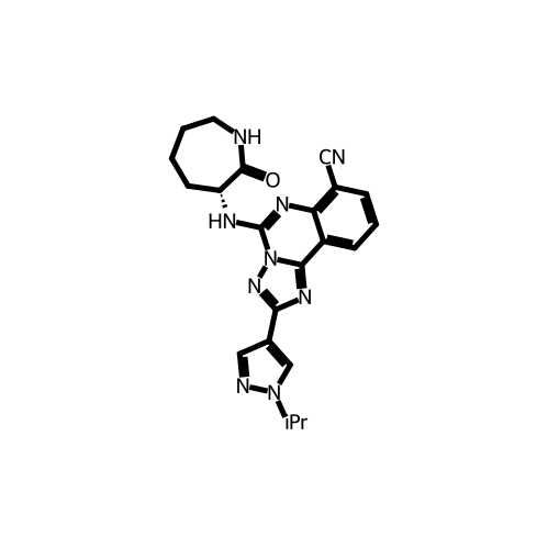 CC(C)n1cc(-c2nc3c4cccc(C#N)c4nc(N[C@@H]4CCCCNC4=O)n3n2)cn1